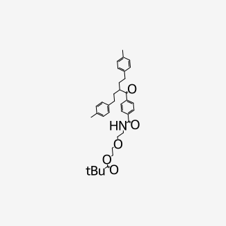 Cc1ccc(CCC(CCc2ccc(C)cc2)C(=O)c2ccc(C(=O)NCCOCCOC(=O)C(C)(C)C)cc2)cc1